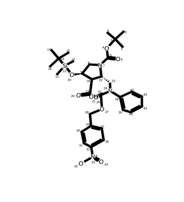 CC(C)(C)OC(=O)N1C[C@H](O[Si](C)(C)C(C)(C)C)C(C(=O)O)[C@H]1CN(C(=O)OCc1ccc([N+](=O)[O-])cc1)c1ccccc1